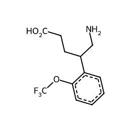 NCC(CCC(=O)O)c1ccccc1OC(F)(F)F